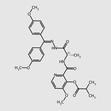 COc1ccc(C(=NNC(=O)[C@H](C)NC(=O)c2nccc(OC)c2OC(=O)C(C)C)c2ccc(OC)cc2)cc1